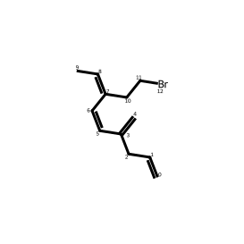 C=CCC(=C)/C=C\C(=C/C)CCBr